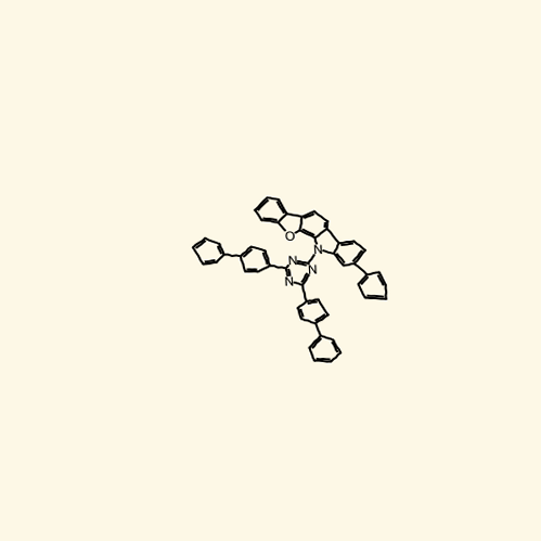 c1ccc(-c2ccc(-c3nc(-c4ccc(-c5ccccc5)cc4)nc(-n4c5cc(-c6ccccc6)ccc5c5ccc6c7ccccc7oc6c54)n3)cc2)cc1